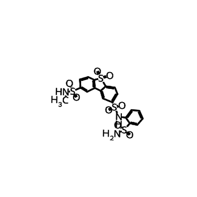 CNS(=O)(=O)c1ccc2c(c1)-c1cc(S(=O)(=O)Nc3ccccc3S(N)(=O)=O)ccc1S2(=O)=O